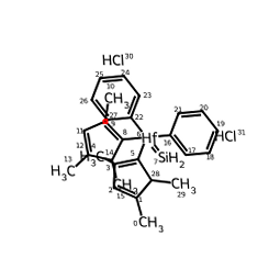 CC1=CC(C)=[C]([Hf](=[SiH2])([C]2=C(C)C=C(C)C2C)([c]2ccccc2)[c]2ccccc2)C1C.Cl.Cl